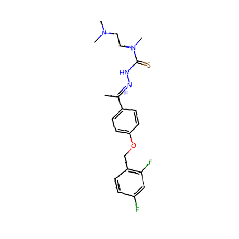 C/C(=N\NC(=S)N(C)CCN(C)C)c1ccc(OCc2ccc(F)cc2F)cc1